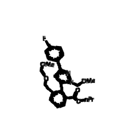 CCCOC(=O)c1cccc(COCOC)c1-c1cc(-c2ccc(F)cc2)nn1COC